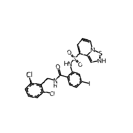 O=C(NCc1c(Cl)cccc1Cl)c1ccc(I)cc1NS(=O)(=O)C1=CC=CN2SNC=C12